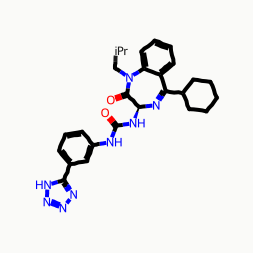 CC(C)CN1C(=O)[C@H](NC(=O)Nc2cccc(-c3nnn[nH]3)c2)N=C(C2CCCCC2)c2ccccc21